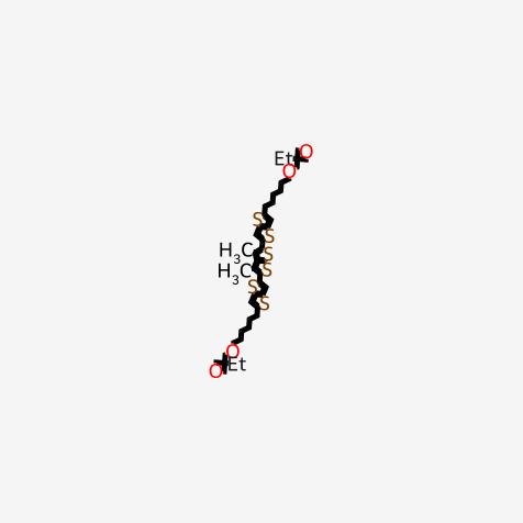 CCC1(COCCCCCCc2cc3sc(-c4sc5sc(-c6cc7sc(CCCCCCOCC8(CC)COC8)cc7s6)c(C)c5c4C)cc3s2)COC1